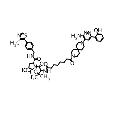 Cc1ncsc1-c1ccc(CNC(=O)[C@@H]2C[C@@H](O)CN2C(=O)C(NC(=O)CCCCCCC(=O)N2CCC3(CC2)CCN(c2cc(-c4ccccc4O)nnc2N)CC3)C(C)(C)C)cc1